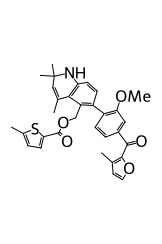 COc1cc(C(=O)c2occc2C)ccc1-c1ccc2c(c1COC(=O)c1ccc(C)s1)C(C)=CC(C)(C)N2